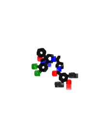 CC(C1CCN(C(=O)c2cc(C(C)(C)C)c(O)c(C(C)(C)C)c2)C1)N1CCC(C(N)=O)(c2ccccc2)C(c2ccc(Cl)c(Cl)c2)C1